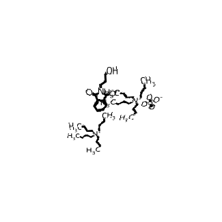 CCCC[N+](CCCC)(CCCC)CCCC.CCCC[N+](CCCC)(CCCC)CCCC.O=C1c2ccccc2C(=O)N1CCCO.O=S(=O)([O-])[O-]